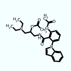 CCN(CC)CC(CNC(=O)c1c(OC(C)=O)cccc1-n1ccc2ccccc21)OC(C)=O